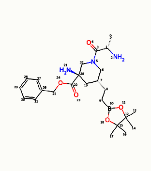 C[C@H](N)C(=O)N1C[C@H](CCB2OC(C)(C)C(C)(C)O2)C[C@](N)(C(=O)OCc2ccccc2)C1